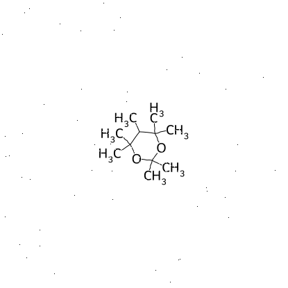 CC1C(C)(C)OC(C)(C)OC1(C)C